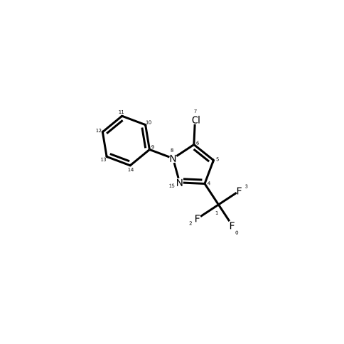 FC(F)(F)c1[c]c(Cl)n(-c2ccccc2)n1